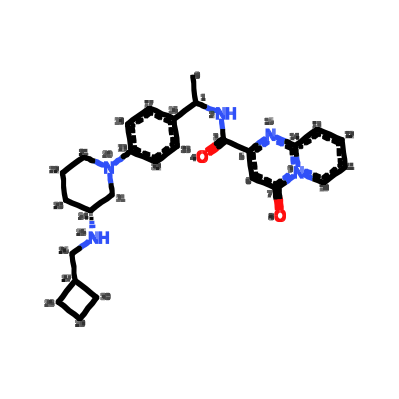 CC(NC(=O)c1cc(=O)n2ccccc2n1)c1ccc(N2CCC[C@@H](NCC3CCC3)C2)cc1